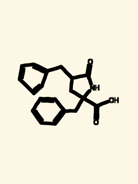 O=C1NC(Cc2ccccc2)(C(=O)O)CC1Cc1ccccc1